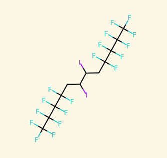 FC(F)(F)C(F)(F)C(F)(F)C(F)(F)CC(I)C(I)CC(F)(F)C(F)(F)C(F)(F)C(F)(F)F